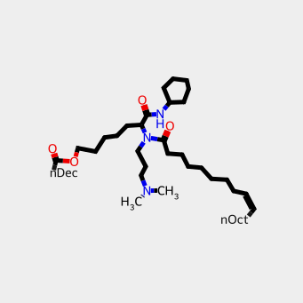 CCCCCCCC/C=C\CCCCCCCC(=O)N(CCCN(C)C)C(CCCCCOC(=O)CCCCCCCCCC)C(=O)NC1CCCCC1